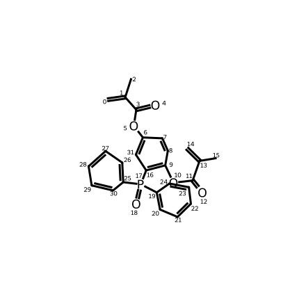 C=C(C)C(=O)Oc1ccc(OC(=O)C(=C)C)c(P(=O)(c2ccccc2)c2ccccc2)c1